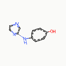 Oc1ccc(Nc2cnccn2)cc1